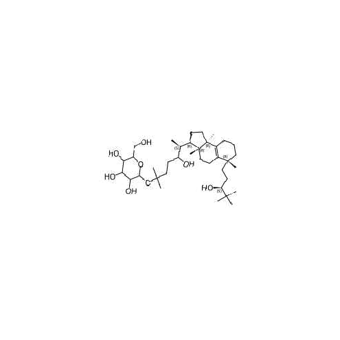 C[C@H](C(O)CCC(C)(C)OC1OC(CO)C(O)C(O)C1O)[C@H]1CC[C@@]2(C)C3=C(CC[C@]12C)[C@@](C)(CC[C@H](O)C(C)(C)C)CCC3